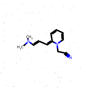 CN(C)C=CC=C1C=CC=CN1CC#N